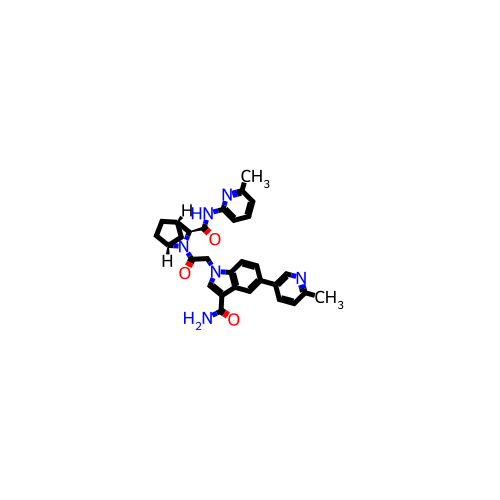 Cc1ccc(-c2ccc3c(c2)c(C(N)=O)cn3CC(=O)N2[C@@H]3CC[C@@H](C3)[C@H]2C(=O)Nc2cccc(C)n2)cn1